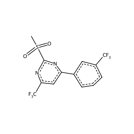 CS(=O)(=O)c1nc(-c2cccc(C(F)(F)F)c2)cc(C(F)(F)F)n1